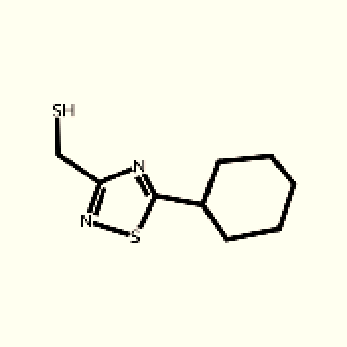 SCc1nsc(C2CCCCC2)n1